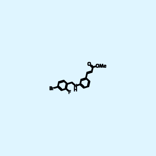 COC(=O)/C=C/c1cccc(NCc2ccc(Br)cc2F)c1